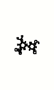 COc1cc(Cl)cc(-c2cc(C(C)C)cc([N+](=O)[O-])c2)c1